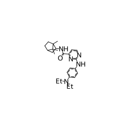 CCN(CC)c1ccc(Nc2nccc(C(=O)NC3CC4CCC3(C)C4(C)C)n2)cc1